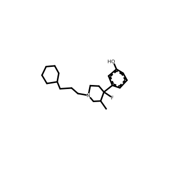 CC1CN(CCCC2CCCCC2)CCC1(F)c1cccc(O)c1